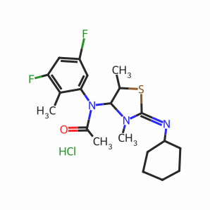 CC(=O)N(c1cc(F)cc(F)c1C)C1C(C)SC(=NC2CCCCC2)N1C.Cl